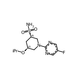 CC(C)O[C@H]1C[C@@H](S(N)(=O)=O)CN(c2ncc(F)cn2)C1